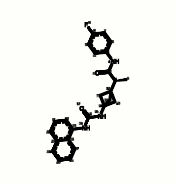 C[C@H](C(=O)Nc1ccc(F)cc1)C12CC(NC(=O)Nc3cccc4ccccc34)(C1)C2